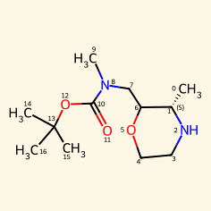 C[C@@H]1NCCOC1CN(C)C(=O)OC(C)(C)C